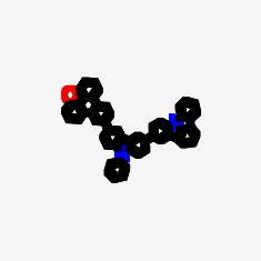 c1ccc(-n2c3ccc(-c4ccc5c(c4)c4cccc6oc7cccc5c7c64)cc3c3cc(-c4ccc5c(c4)c4cccc6c7ccccc7n5c64)ccc32)cc1